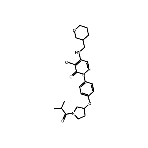 CC(C)C(=O)N1CCC(Oc2ccc(-n3ncc(NCC4CCCOC4)c(Cl)c3=O)cc2)C1